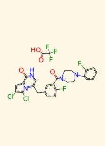 O=C(O)C(F)(F)F.O=C(c1cc(Cc2c[nH]c(=O)c3cc(Cl)c(Cl)n23)ccc1F)N1CCN(c2ccccc2F)CC1